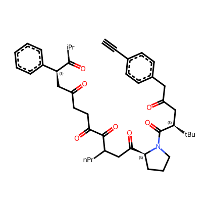 C#Cc1ccc(CC(=O)C[C@H](C(=O)N2CCC[C@H]2C(=O)CC(CCC)C(=O)C(=O)CCC(=O)C[C@H](C(=O)C(C)C)c2ccccc2)C(C)(C)C)cc1